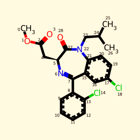 COC(=O)C[C@@H]1N=C(c2ccccc2Cl)c2cc(Cl)ccc2N(CC(C)C)C1=O